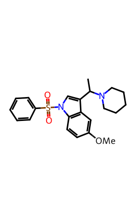 COc1ccc2c(c1)c(C(C)N1CCCCC1)cn2S(=O)(=O)c1ccccc1